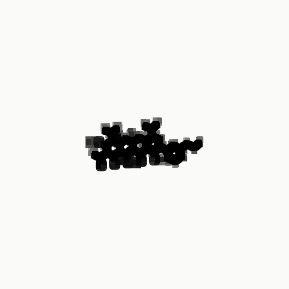 CCCc1cccc(-c2cc(C(C)C)c3c(c2O)C(=O)C2=C(O)[C@@]4(O)C(=O)C(C(C)=O)=C(O)C(C(C)C)[C@@]4(C)C[C@@]2(C)C3)c1